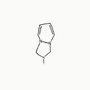 CN1CN2C=CC=CN2C1